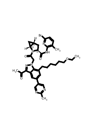 CCOCCCCCCc1cc(-c2cnc(C)nc2)cc2c(C(C)=O)nn(CC(=O)N3[C@@H]4C[C@@H]4C[C@H]3C(=O)Nc3nc(Br)ccc3C)c12